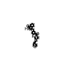 O=C(c1cc(Cc2n[nH]c(=O)c3c2CCCC3)ccc1F)N1CCN(CCN2CCOCC2)CC1